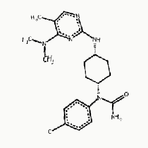 Cc1cnc(N[C@H]2CC[C@@H](N(C(N)=O)c3ccc(Cl)cc3)CC2)nc1N(C)C